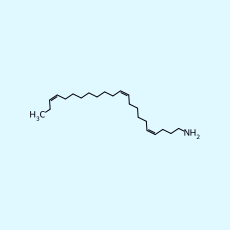 CC/C=C\CCCCCCC/C=C\CCCC/C=C\CCCN